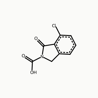 O=C(O)N1Cc2cccc(Cl)c2C1=O